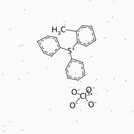 Cc1ccccc1[S+](c1ccccc1)c1ccccc1.[O-][Cl+3]([O-])([O-])[O-]